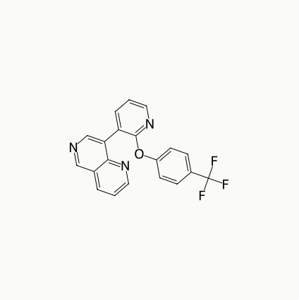 FC(F)(F)c1ccc(Oc2ncccc2-c2cncc3cccnc23)cc1